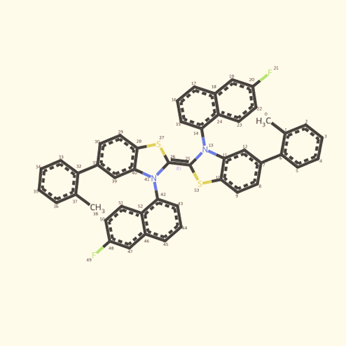 Cc1ccccc1-c1ccc2c(c1)N(c1cccc3cc(F)ccc13)/C(=C1\Sc3ccc(-c4ccccc4C)cc3N1c1cccc3cc(F)ccc13)S2